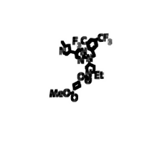 CC[C@@H]1C[C@H](N(Cc2cc(C(F)(F)F)cc(C(F)(F)F)c2)c2ncc(C3C=NC(C)C3)cn2)CN1C(=O)O[C@H]1C[C@@H](C(=O)OC)C1